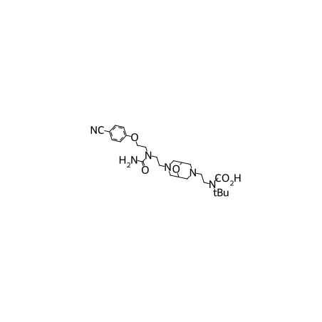 CC(C)(C)N(CCN1CC2CN(CCN(CCOc3ccc(C#N)cc3)C(N)=O)CC(C1)O2)C(=O)O